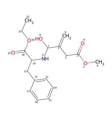 C=C(CC(=O)OC)C(O)NC(Cc1ccccc1)C(=O)OCC